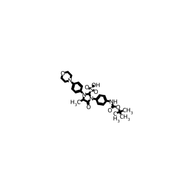 CC1C(=O)N(c2ccc(NC(=O)OC(C)(C)C)cc2)C(S(=O)(=O)O)N1c1ccc(N2CCOCC2)cc1